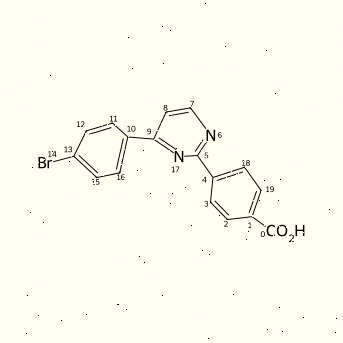 O=C(O)c1ccc(-c2nccc(-c3ccc(Br)cc3)n2)cc1